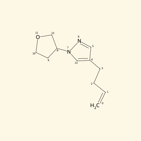 C=CCCc1cnn(C2CCOC2)c1